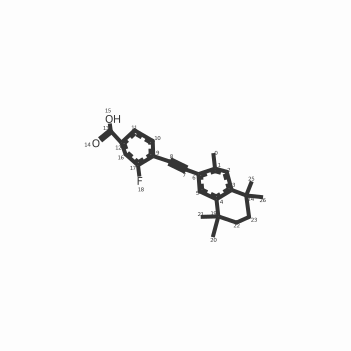 Cc1cc2c(cc1C#Cc1ccc(C(=O)O)cc1F)C(C)(C)CCC2(C)C